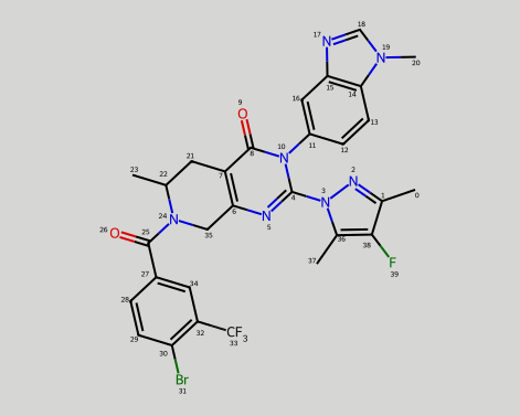 Cc1nn(-c2nc3c(c(=O)n2-c2ccc4c(c2)ncn4C)CC(C)N(C(=O)c2ccc(Br)c(C(F)(F)F)c2)C3)c(C)c1F